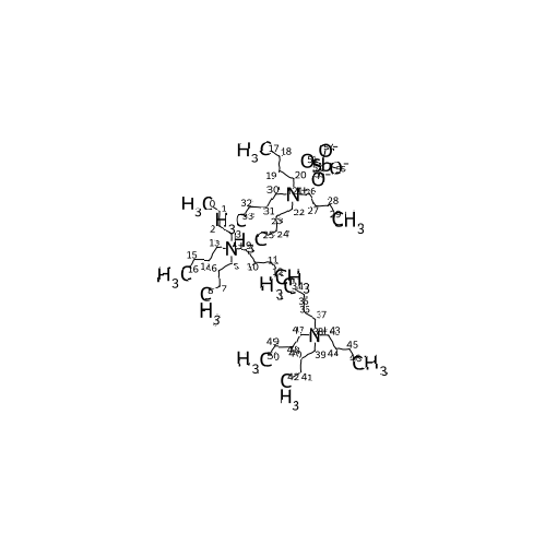 CCCC[N+](CCCC)(CCCC)CCCC.CCCC[N+](CCCC)(CCCC)CCCC.CCCC[N+](CCCC)(CCCC)CCCC.[O]=[Sb]([O-])([O-])[O-]